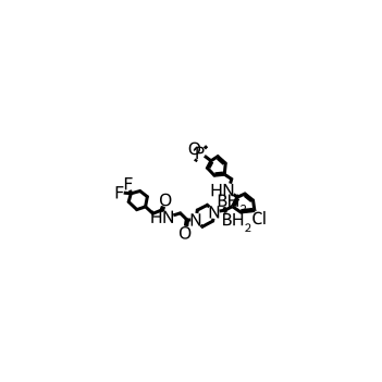 BC(B)(c1cc(Cl)ccc1NCc1ccc(P(C)(C)=O)cc1)N1CCN(C(=O)CNC(=O)CC2CCC(F)(F)CC2)CC1